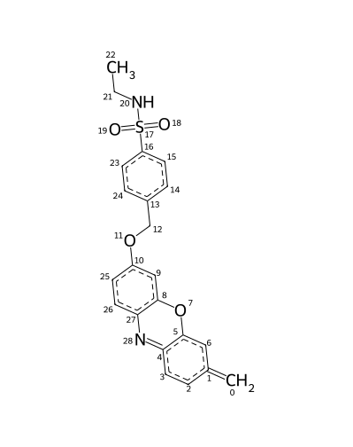 C=c1ccc2c(c1)Oc1cc(OCc3ccc(S(=O)(=O)NCC)cc3)ccc1N=2